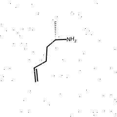 C=CCC[C@H](C)N